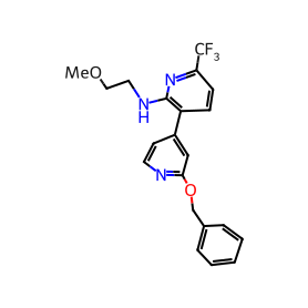 COCCNc1nc(C(F)(F)F)ccc1-c1ccnc(OCc2ccccc2)c1